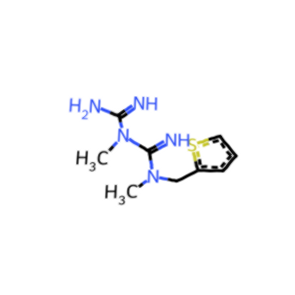 CN(Cc1cccs1)C(=N)N(C)C(=N)N